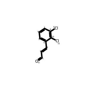 O=CC=Cc1cccc(Cl)c1Cl